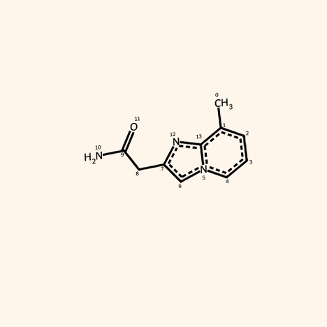 Cc1cccn2cc(CC(N)=O)nc12